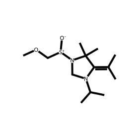 COC[S+]([O-])N1CN(C(C)C)C(=C(C)C)C1(C)C